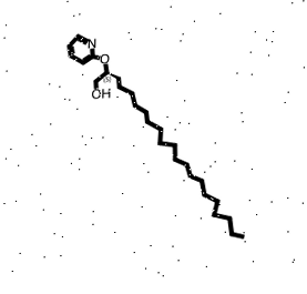 CCCCCCCCCCCCCCCCCCC[C@@H](CO)Oc1ccccn1